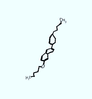 CCCCCOc1ccc2cc(C3CCC(CCCCC)CC3)ccc2c1